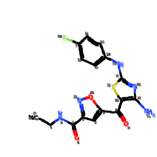 N#CCNC(=O)c1cc(C(=O)c2sc(Nc3ccc(F)cc3)nc2N)on1